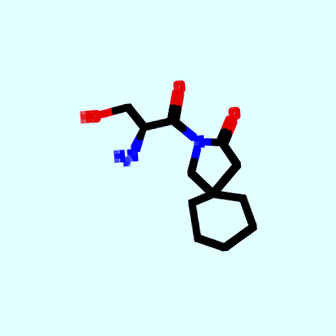 N[C@@H](CO)C(=O)N1CC2(CCCCC2)CC1=O